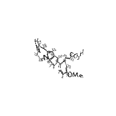 COc1ccc(-c2ccc3c(c2)cc2n3CCNCC2)c(C=CC(=O)O)c1